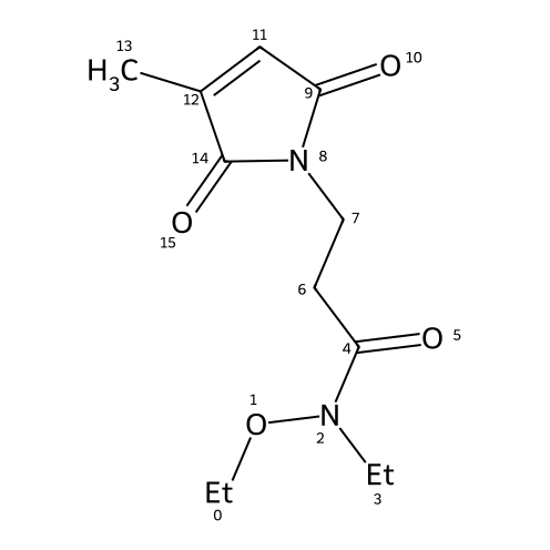 CCON(CC)C(=O)CCN1C(=O)C=C(C)C1=O